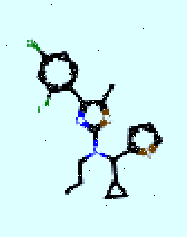 CCCN(c1nc(-c2ccc(Cl)cc2Cl)c(C)s1)C(c1cccs1)C1CC1